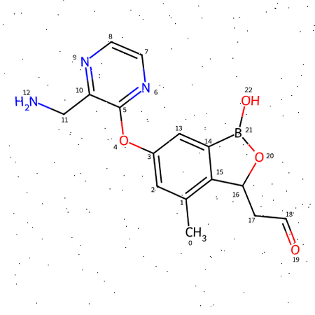 Cc1cc(Oc2nccnc2CN)cc2c1C(CC=O)OB2O